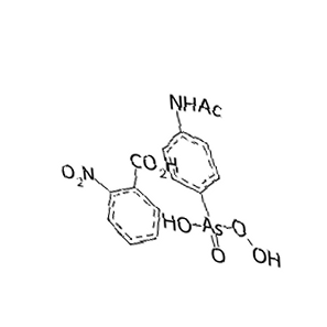 CC(=O)Nc1ccc([As](=O)(O)OO)cc1.O=C(O)c1ccccc1[N+](=O)[O-]